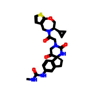 CNC(=O)Nc1ccc2c(c1)CC[C@]21NC(=O)N(CC(=O)N2Cc3ccsc3OC[C@H]2C2CC2)CC1=O